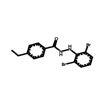 CCc1ccc(C(=O)NNc2c(Br)cccc2Br)cc1